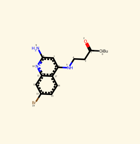 CC(C)COC(=O)CCNc1cc(N)nc2cc(Br)ccc12